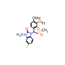 CCOc1cc(C(CS(C)(=O)=O)n2c(=O)n(C)c3cc(F)ccc32)ccc1OC